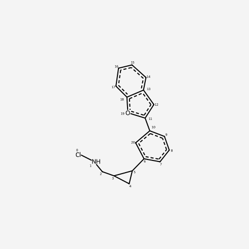 ClNCC1CC1c1cccc(-c2cc3ccccc3o2)c1